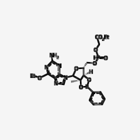 CCOC(=O)CO[PH](=O)OC[C@H]1OC(n2cnc3c(OCC)nc(N)nc32)[C@]2(C)OB(c3ccccc3)O[C@H]12